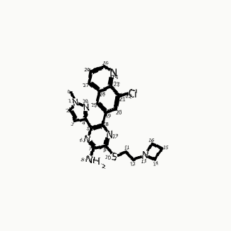 Cn1ccc(-c2nc(N)c(SCCN3CCC3)nc2-c2cc(Cl)c3ncccc3c2)n1